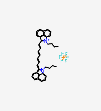 CCCCn1c(=CC=CC=CC=CC2=[N+](CCCC)c3cccc4cccc2c34)c2cccc3cccc1c32.F[P-](F)(F)(F)(F)F